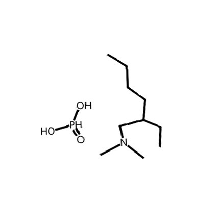 CCCCC(CC)CN(C)C.O=[PH](O)O